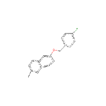 Cc1ccc2cc(OCc3ccc(F)cc3)ccc2c1